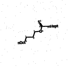 CCCCCCCCCCCOC(=S)CCCCCCC